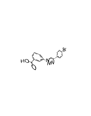 O=C(O)c1cccc(-n2cc(-c3ccc(Br)cc3)nn2)c1